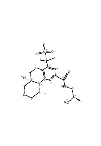 C[C@@H]1COC[C@H]2COc3c(nc(C(=O)NC[C@@H](C)O)nc3C(C)(C)S(C)(=O)=O)N21